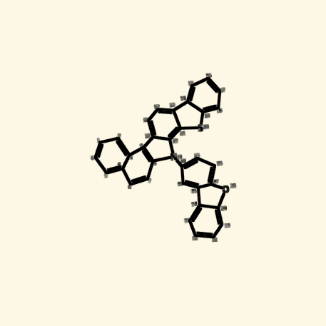 c1ccc2c(c1)ccc1c2c2ccc3c4ccccc4sc3c2n1-c1ccc2oc3ccccc3c2c1